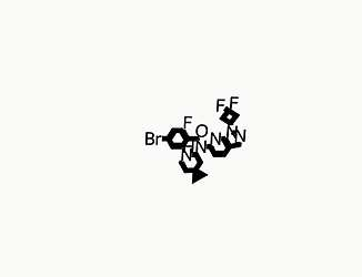 O=C(Nc1ccc2cnn(C3CC(F)(F)C3)c2n1)c1c(F)cc(Br)cc1N1CCC2(CC1)CC2